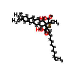 CCCCCCCCCCCC(CCCCCCCCCC)(SC(C)(CCCCCCCCCC)C(=O)O)C(=O)O